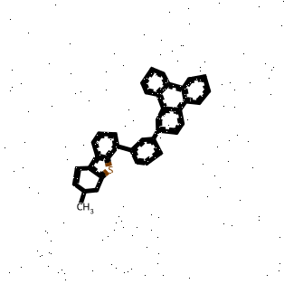 CC1C=Cc2c(sc3c(-c4cccc(-c5ccc6c7ccccc7c7ccccc7c6c5)c4)cccc23)C1